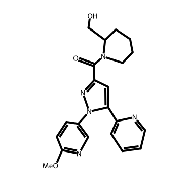 COc1ccc(-n2nc(C(=O)N3CCCCC3CO)cc2-c2ccccn2)cn1